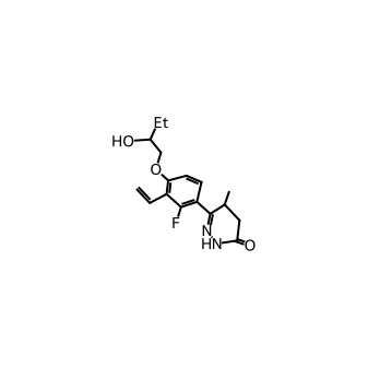 C=Cc1c(OCC(O)CC)ccc(C2=NNC(=O)CC2C)c1F